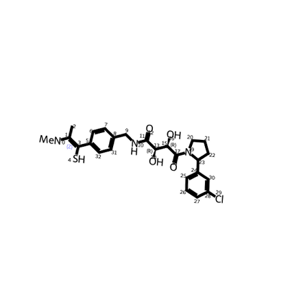 CN/C(C)=C(\S)c1ccc(CNC(=O)[C@H](O)[C@@H](O)C(=O)N2CCCC2c2cccc(Cl)c2)cc1